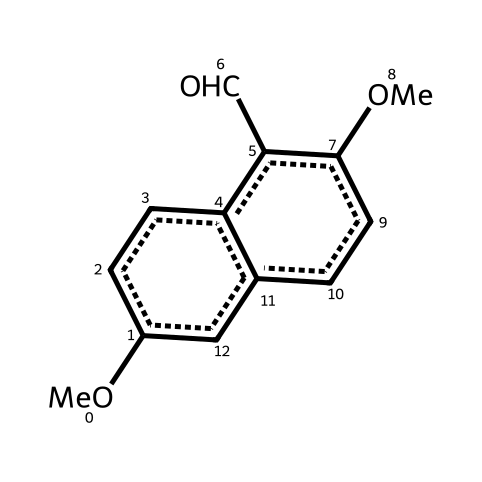 COc1ccc2c(C=O)c(OC)ccc2c1